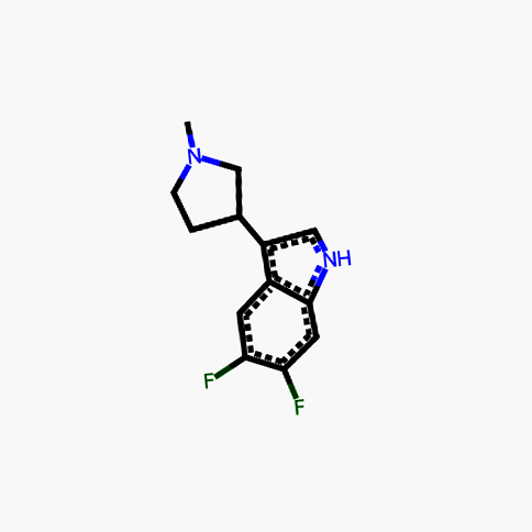 CN1CCC(c2c[nH]c3cc(F)c(F)cc23)C1